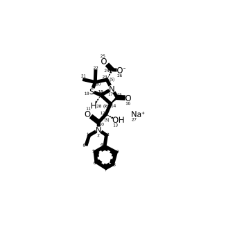 CCN(Cc1ccccc1)C(=O)[C@@H](O)[C@@H]1C(=O)N2[C@@H]1SC(C)(C)[C@@H]2C(=O)[O-].[Na+]